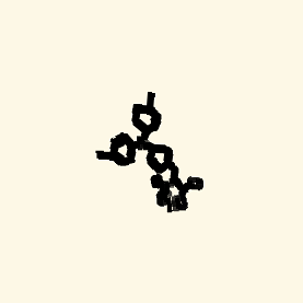 Cc1ccc(N(c2ccc(C)cc2)c2ccc(/C=C(/C(=O)O)[N+](=O)[O-])cc2)cc1